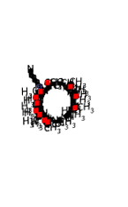 CC[C@H]1NC(=O)[C@H]([C@H](O)[C@H](C)C/C=C/CCCCC#N)N(C)C(=O)[C@@H](C(C)C)N(C)C(=O)[C@@H](CC(C)C)N(C)C(=O)[C@@H](CC(C)C)N(C)C(=O)[C@H](C)NC(=O)[C@@H](C)NC(=O)[C@@H](CC(C)C)N(C)C(=O)[C@@H](C(C)C)NC(=O)[C@H](CC(C)C)N(C)C(=O)CN(C)C1=O